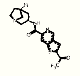 O=C(N[C@@H]1C[C@@H]2CCN(C2)C1)c1cc2sc(C(=O)C(F)(F)F)cc2cn1